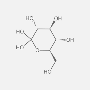 OC[C@H]1OC(O)(O)[C@H](O)[C@@H](O)[C@@H]1O